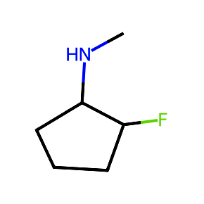 CNC1CCCC1F